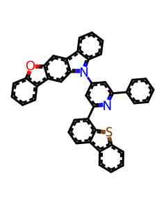 c1ccc(-c2cc(-n3c4ccccc4c4cc5oc6ccccc6c5cc43)cc(-c3cccc4c3sc3ccccc34)n2)cc1